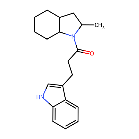 CC1CC2CCCCC2N1C(=O)CCc1c[nH]c2ccccc12